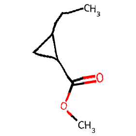 CCC1CC1C(=O)OC